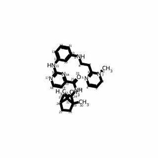 CN1CC=CN=C1CCNc1cccc(Nc2nccc(C(=O)NC3CC4CCC3(C)C4(C)C)n2)c1